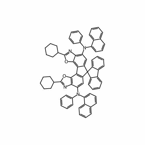 c1ccc(N(c2cccc3ccccc23)c2cc3c(c4oc(C5CCCCC5)nc24)-c2c(cc(N(c4ccccc4)c4cccc5ccccc45)c4nc(C5CCCCC5)oc24)C32c3ccccc3-c3ccccc32)cc1